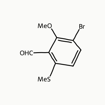 COc1c(Br)ccc(SC)c1C=O